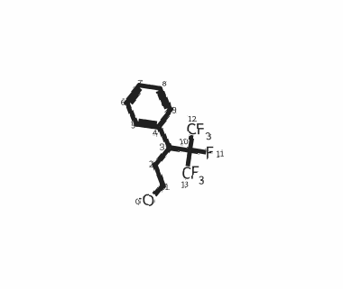 [O]CCC(c1ccccc1)C(F)(C(F)(F)F)C(F)(F)F